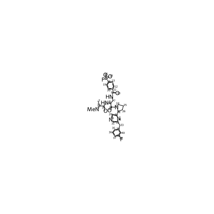 CN[C@@H](C)C(=O)N[C@@H](CNC(=O)c1ccc(S(=O)(=O)F)cc1)C(=O)N1CCC[C@@H]1c1cncc(Cc2cccc(F)c2)n1